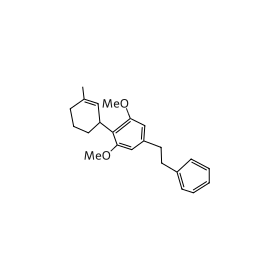 COc1cc(CCc2ccccc2)cc(OC)c1C1C=C(C)CCC1